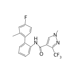 Cc1cc(F)ccc1-c1ccccc1NC(=O)c1cn(C)nc1C(F)(F)F